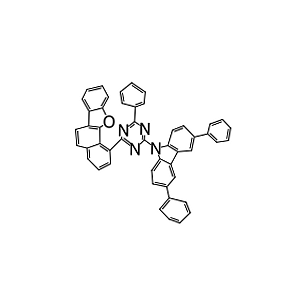 c1ccc(-c2ccc3c(c2)c2cc(-c4ccccc4)ccc2n3-c2nc(-c3ccccc3)nc(-c3cccc4ccc5c6ccccc6oc5c34)n2)cc1